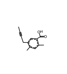 CC#CCc1cc(C(=O)O)c(C)cc1C